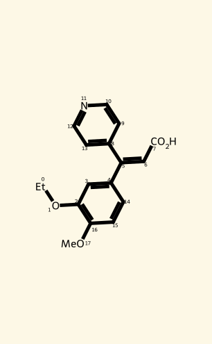 CCOc1cc(C(=CC(=O)O)c2ccncc2)ccc1OC